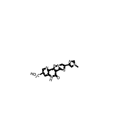 Cn1cnc(-c2cn3nc4c5ncc(C(=O)O)cc5[nH]c(=O)c4c3s2)c1